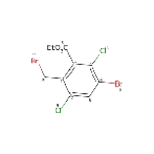 CCOC(=O)c1c(Cl)c(Br)cc(Cl)c1CBr